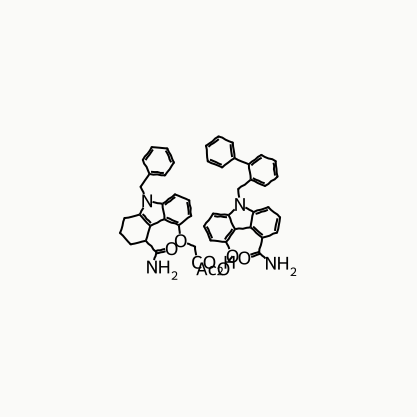 CC(=O)OOc1cccc2c1c1c(C(N)=O)cccc1n2Cc1ccccc1-c1ccccc1.NC(=O)C1CCCc2c1c1c(OCC(=O)O)cccc1n2Cc1ccccc1